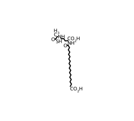 CC(NCCCC(NC(=O)CCCCCCCCCCCCCCCCCCC(=O)O)C(=O)O)C(=O)S